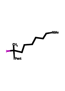 CCCCCC(C)(I)CCCCCCNC